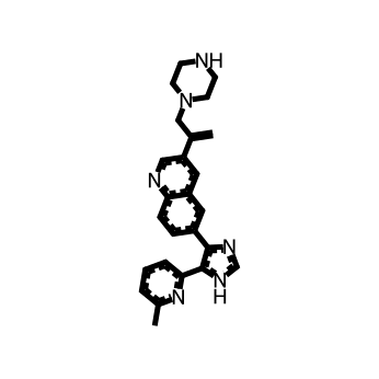 C=C(CN1CCNCC1)c1cnc2ccc(-c3nc[nH]c3-c3cccc(C)n3)cc2c1